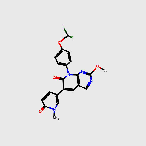 CCOc1ncc2cc(-c3ccc(=O)n(C)c3)c(=O)n(-c3ccc(OC(F)F)cc3)c2n1